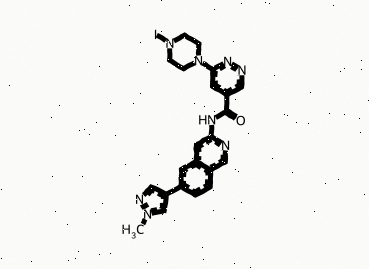 Cn1cc(-c2ccc3cnc(NC(=O)c4cnnc(N5CCN(I)CC5)c4)cc3c2)cn1